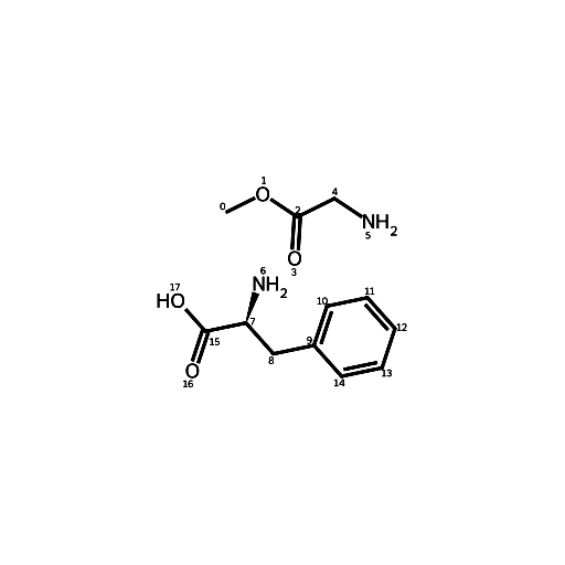 COC(=O)CN.N[C@@H](Cc1ccccc1)C(=O)O